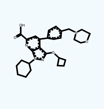 O=C(O)c1cc(-c2ccc(CN3CCOCC3)cc2)c2c(OC3CCC3)nn(C3CCCCC3)c2n1